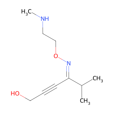 CNCCO/N=C(\C#CCO)C(C)C